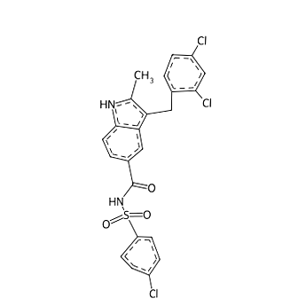 Cc1[nH]c2ccc(C(=O)NS(=O)(=O)c3ccc(Cl)cc3)cc2c1Cc1ccc(Cl)cc1Cl